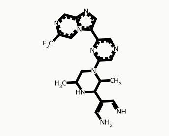 CC1CN(c2cncc(-c3cnc4cnc(C(F)(F)F)cn34)n2)C(C)C(/C(C=N)=C/N)N1